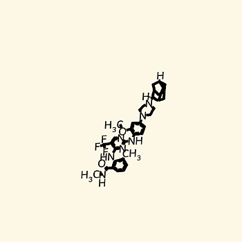 CNC(=O)c1cccc(C)c1Nc1nc(Nc2ccc(N3CCN([C@H]4C5CC6CC4C[C@@H](C6)C5)CC3)cc2OC)ncc1C(F)(F)F